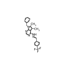 Cc1c(C)n(Cc2ccccc2)c2ncnc(NN=Cc3ccc(C(F)(F)F)cc3)c12